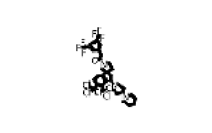 O=C(Cc1cc(C(F)(F)F)cc(C(F)(F)F)c1)N1CCC(CCN2CCC(N3CCCCC3)CC2)(c2ccc(C(Cl)(Cl)Cl)c(C(Cl)(Cl)Cl)c2)C1